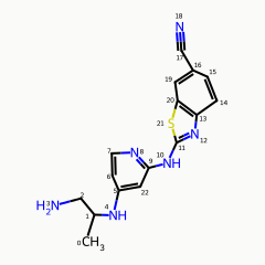 CC(CN)Nc1ccnc(Nc2nc3ccc(C#N)cc3s2)c1